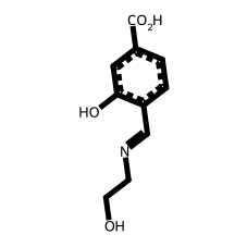 O=C(O)c1ccc(C=NCCO)c(O)c1